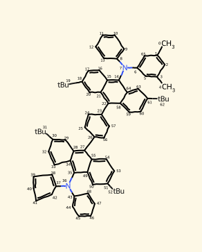 Cc1cc(C)cc(N(c2ccccc2)c2c3ccc(C(C)(C)C)cc3c(-c3ccc(-c4c5cc(C(C)(C)C)ccc5c(N(c5ccccc5)c5ccccc5)c5cc(C(C)(C)C)ccc45)cc3)c3ccc(C(C)(C)C)cc23)c1